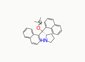 C[Si](C)(C)OC(c1cccc2ccccc12)(c1cccc2ccccc12)[C@@H]1CCCN1